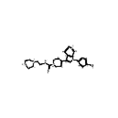 O=C(NCCN1CCNCC1)N1CCC(c2cn(-c3ccc(Cl)cc3)c3cnccc23)CC1